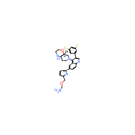 NCOCc1cccc(-c2ccc3ncc(-c4cc(F)cc(F)c4)c(N4CCC5NCCO[C@@H]5C4)c3c2)n1